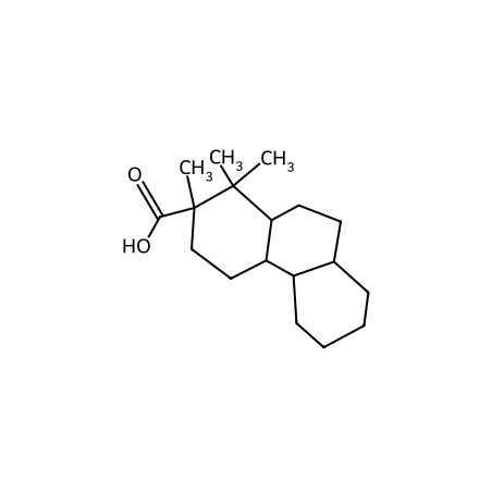 CC1(C(=O)O)CCC2C3CCCCC3CCC2C1(C)C